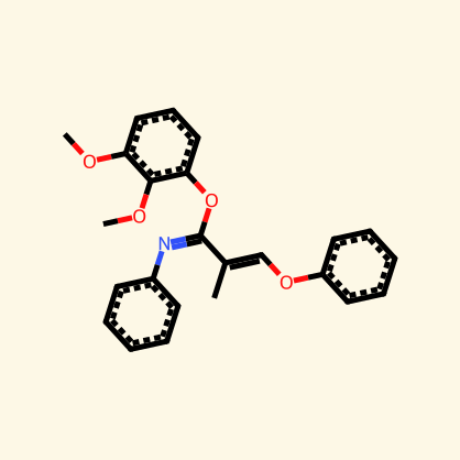 COc1cccc(OC(=Nc2ccccc2)C(C)=COc2ccccc2)c1OC